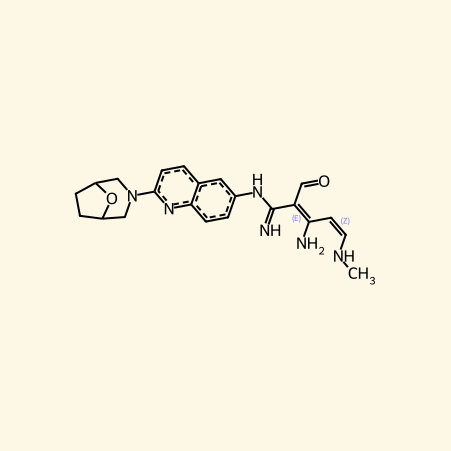 CN/C=C\C(N)=C(/C=O)C(=N)Nc1ccc2nc(N3CC4CCC(C3)O4)ccc2c1